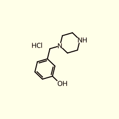 Cl.Oc1cccc(CN2CCNCC2)c1